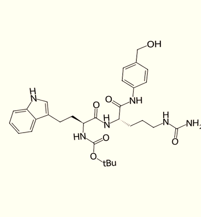 CC(C)(C)OC(=O)N[C@@H](CCc1c[nH]c2ccccc12)C(=O)N[C@@H](CCCNC(N)=O)C(=O)Nc1ccc(CO)cc1